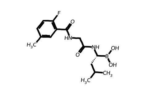 Cc1ccc(F)c(C(=O)NCC(=O)N[C@@H](CC(C)C)B(O)O)c1